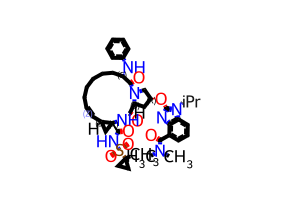 CC(C)n1c(O[C@@H]2C[C@H]3C(=O)N[C@]4(C(=O)NS(=O)(=O)C5(C)CC5)C[C@H]4/C=C\CCCCC[C@H](Nc4ccccc4)C(=O)N3C2)nc2c(C(=O)N(C)C)cccc21